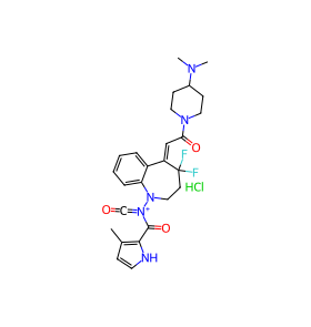 Cc1cc[nH]c1C(=O)[N+](=C=O)N1CCC(F)(F)C(=CC(=O)N2CCC(N(C)C)CC2)c2ccccc21.Cl